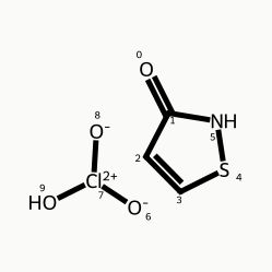 O=c1ccs[nH]1.[O-][Cl+2]([O-])O